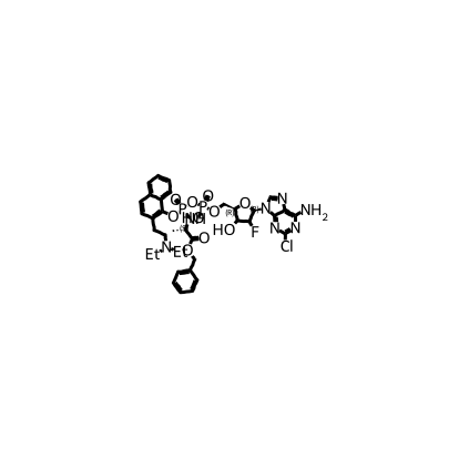 CCN(CC)CCc1ccc2ccccc2c1OP(=O)(N[C@@H](C)C(=O)OCc1ccccc1)OP(=O)(O)OC[C@H]1O[C@@H](n2cnc3c(N)nc(Cl)nc32)C(F)C1O